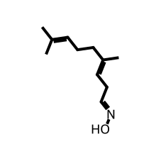 CC(C)=CCCC(C)=CCC=NO